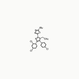 CC(=O)OCc1c(-c2nnc(C(C)(C)C)o2)nn(-c2ccc(Cl)cc2Cl)c1-c1ccc(Cl)cc1